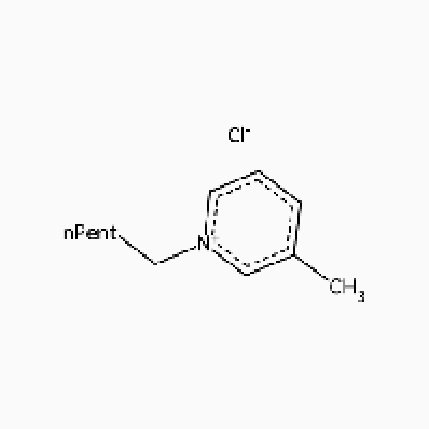 CCCCCC[n+]1cccc(C)c1.[Cl-]